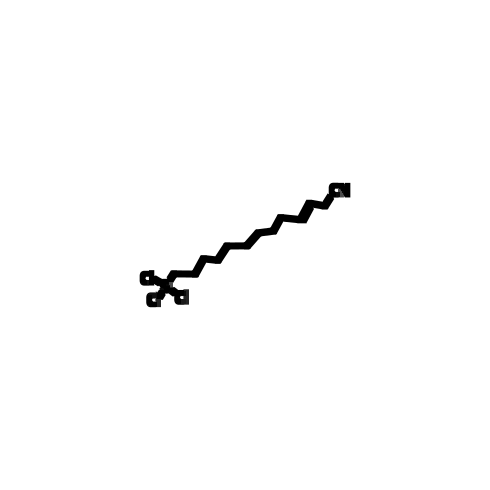 N#CCC=CCCCCCCCCC[Si](Cl)(Cl)Cl